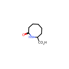 O=C1CCCCCC(C(=O)O)N1